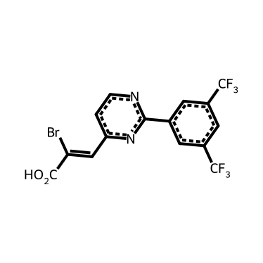 O=C(O)C(Br)=Cc1ccnc(-c2cc(C(F)(F)F)cc(C(F)(F)F)c2)n1